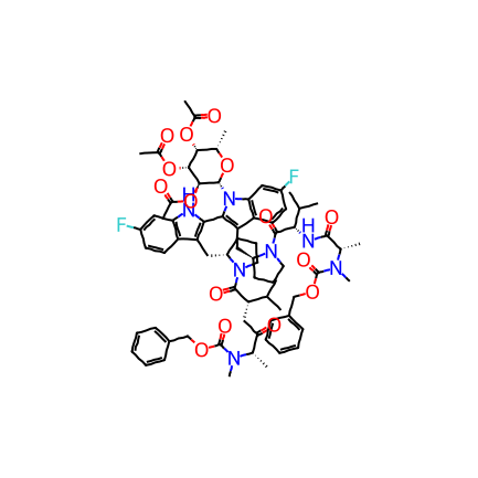 CC(=O)O[C@@H]1[C@H](OC(C)=O)[C@H](C)O[C@H](n2c(-c3[nH]c4cc(F)ccc4c3C[C@@H]3CCCN3C(=O)[C@@H](CC(=O)[C@H](C)N(C)C(=O)OCc3ccccc3)C(C)C)c(C[C@@H]3CCCN3C(=O)[C@@H](NC(=O)[C@H](C)N(C)C(=O)OCc3ccccc3)C(C)C)c3ccc(F)cc32)[C@H]1OC(C)=O